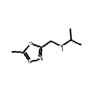 Cc1nnc(CNC(C)C)o1